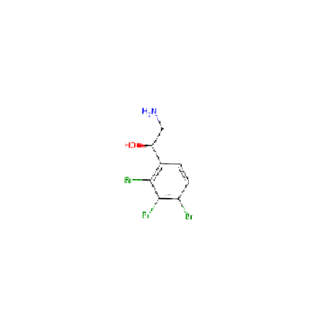 NC[C@H](O)c1ccc(Br)c(Br)c1Br